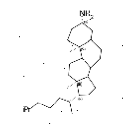 CC(C)CCCC(C)[C@H]1CCC2C3CCC4C[C@@H](N)CC[C@]4(C)C3CC[C@@]21C